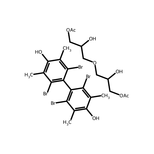 CC(=O)OCC(O)COCC(O)COC(C)=O.Cc1c(O)c(C)c(Br)c(-c2c(Br)c(C)c(O)c(C)c2Br)c1Br